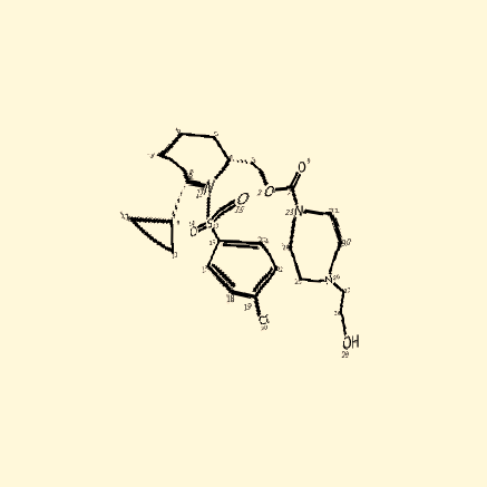 O=C(OC[C@H]1CCC[C@@H](C2CC2)N1S(=O)(=O)c1ccc(Cl)cc1)N1CCN(CCO)CC1